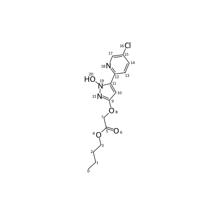 CCCCOC(=O)COc1cc(-c2ccc(Cl)cn2)n(O)n1